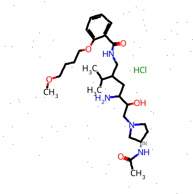 COCCCCOc1ccccc1C(=O)NCC(CC(N)C(O)CN1CC[C@H](NC(C)=O)C1)C(C)C.Cl